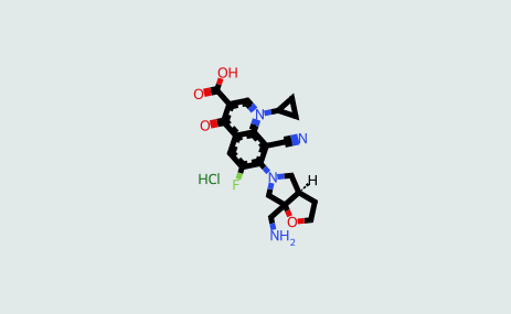 Cl.N#Cc1c(N2C[C@H]3CCOC3(CN)C2)c(F)cc2c(=O)c(C(=O)O)cn(C3CC3)c12